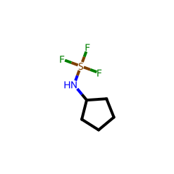 FS(F)(F)NC1CCCC1